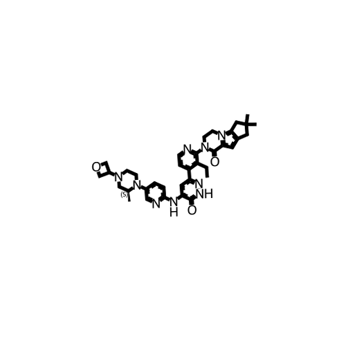 CCc1c(-c2cc(Nc3ccc(N4CCN(C5COC5)C[C@@H]4C)cn3)c(=O)[nH]n2)ccnc1N1CCn2c(cc3c2CC(C)(C)C3)C1=O